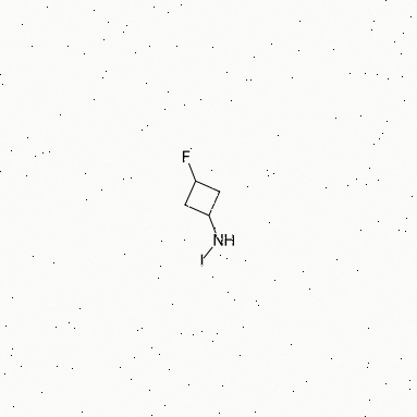 FC1CC(NI)C1